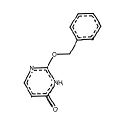 O=c1ccnc(OCc2ccccc2)[nH]1